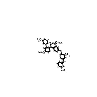 COC(=O)c1cc(Oc2ncc(Cc3cccc(C)n3)cc2C(F)(F)F)ccc1N(C(=O)[C@H]1CC[C@H](C)CC1)C1CCC(OC)CC1